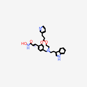 O=C(/C=C/c1ccc(CN(CCOC(=O)CCc2cccnc2)CCc2c[nH]c3ccccc23)cc1)NO